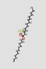 CCCCCCCCCCCCOC(=O)CC(S)CCCCCCCCCCCC